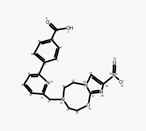 O=C(O)c1ccc(-c2cccc(CN3CCOc4nc([N+](=O)[O-])cn4CC3)n2)cc1